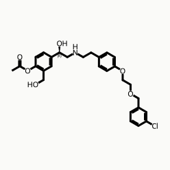 CC(=O)Oc1ccc([C@@H](O)CNCCc2ccc(OCCOCc3cccc(Cl)c3)cc2)cc1CO